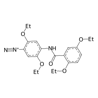 CCOc1ccc(OCC)c(C(=O)Nc2cc(OCC)c([N+]#N)cc2OCC)c1